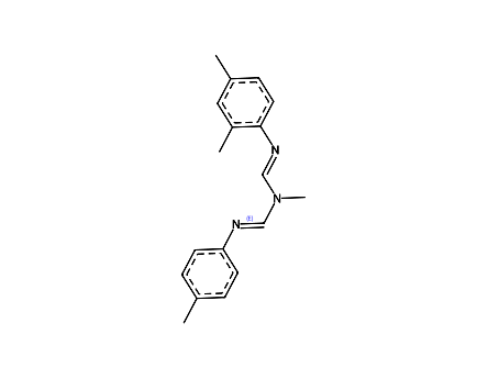 Cc1ccc(/N=C/N(C)C=Nc2ccc(C)cc2C)cc1